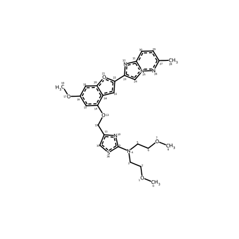 COCCN(CCOC)c1nc(COc2cc(OC)cc3oc(-c4cn5nc(C)ccc5n4)cc23)cs1